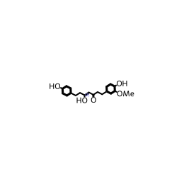 COc1cc(CCC(=O)/C=C(\O)CCc2ccc(O)cc2)ccc1O